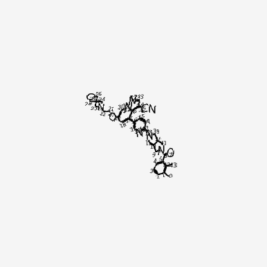 Cc1cccc(C(=O)N2CC3CN(c4ccc(-c5cc(OCCN6CC7(COC7)C6)cn6ncc(C#N)c56)cn4)CC3C2)c1C